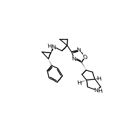 c1ccc([C@@H]2C[C@H]2NCC2(c3noc([C@@H]4C[C@H]5CNC[C@H]5C4)n3)CC2)cc1